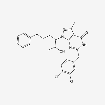 Cc1nn(C(CCCc2ccccc2)C(C)O)c2nc(Cc3ccc(Cl)c(Cl)c3)[nH]c(=O)c12